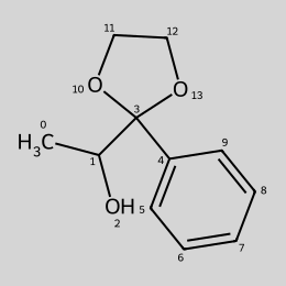 CC(O)C1(c2ccccc2)OCCO1